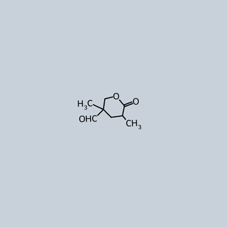 CC1CC(C)(C=O)COC1=O